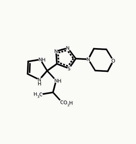 CC(NC1(c2nnc(N3CCOCC3)s2)NC=CN1)C(=O)O